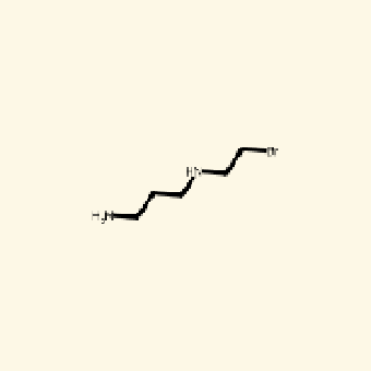 NCCCNCCBr